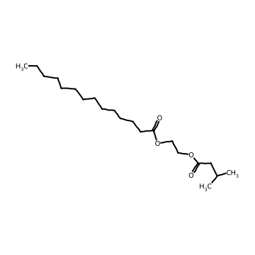 CCCCCCCCCCCCCC(=O)OCCOC(=O)CC(C)C